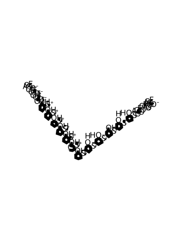 C[S+](C)c1ccccc1O.C[S+](C)c1ccccc1O.C[S+](C)c1ccccc1O.C[S+](C)c1ccccc1O.C[S+](C)c1ccccc1O.C[S+](C)c1ccccc1O.C[S+](C)c1ccccc1O.C[S+](C)c1ccccc1O.C[S+](C)c1ccccc1O.C[S+](C)c1ccccc1O.C[S+](C)c1ccccc1O.C[S+](C)c1ccccc1O.O=[As]([O-])([O-])F.O=[As]([O-])([O-])F.O=[As]([O-])([O-])F.O=[As]([O-])([O-])F.O=[As]([O-])([O-])F.O=[As]([O-])([O-])F